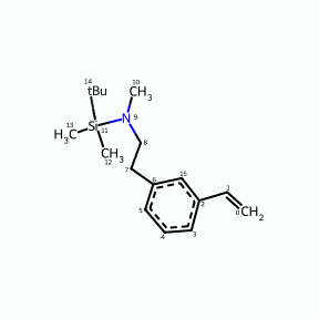 C=Cc1cccc(CCN(C)[Si](C)(C)C(C)(C)C)c1